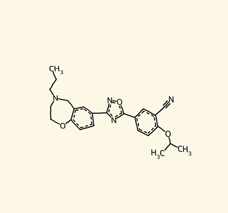 CCCN1CCOc2ccc(-c3noc(-c4ccc(OC(C)C)c(C#N)c4)n3)cc2C1